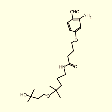 CC(C)(O)CCOC(C)(C)CCCNC(=O)CCCOc1ccc(C=O)c(N)c1